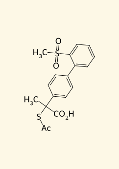 CC(=O)SC(C)(C(=O)O)c1ccc(-c2ccccc2S(C)(=O)=O)cc1